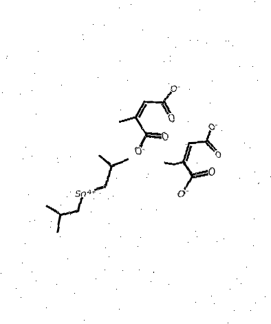 C/C(=C/C(=O)[O-])C(=O)[O-].C/C(=C/C(=O)[O-])C(=O)[O-].CC(C)[CH2][Sn+4][CH2]C(C)C